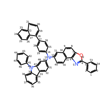 c1ccc(-c2nc3c(ccc4cc(N(c5ccc(-c6cccc7ccccc67)cc5)c5ccc6c7ccccc7n(-c7ccccc7)c6c5)ccc43)o2)cc1